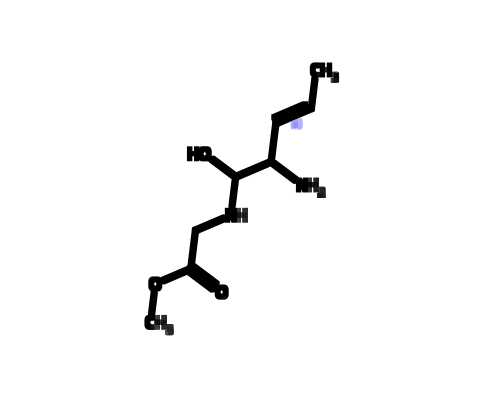 C/C=C/C(N)C(O)NCC(=O)OC